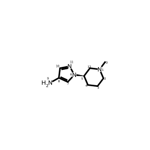 CN1CCC[C@@H](n2cc(N)cn2)C1